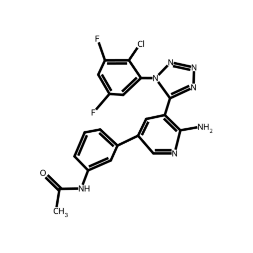 CC(=O)Nc1cccc(-c2cnc(N)c(-c3nnnn3-c3cc(F)cc(F)c3Cl)c2)c1